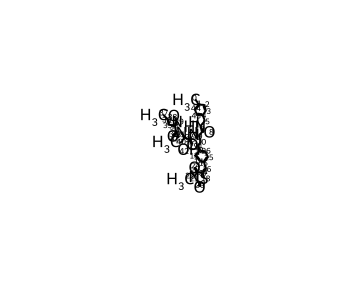 Cc1ccc(CNC(=O)C(CCc2ccc(C=C3SC(=O)N(C)C3=O)cc2)NC(=O)C(NC(=O)c2cc(C)on2)C(C)O)cc1